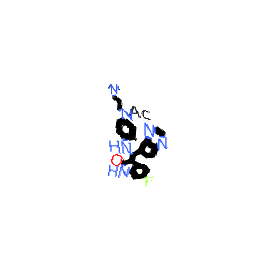 CC(=O)N(CCCN(C)C)c1ccc(N/C(=C2\C(=O)Nc3cc(F)ccc32)c2ccc3nccnc3c2)cc1